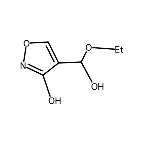 CCOC(O)c1conc1O